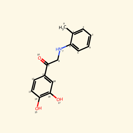 Cc1ccccc1NCC(=O)c1ccc(O)c(O)c1